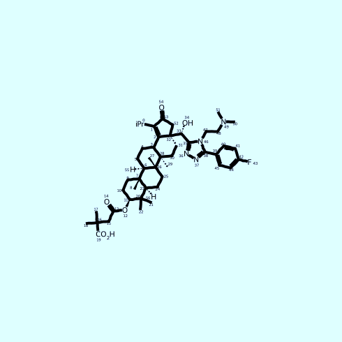 CC(C)C1=C2C3CC[C@@H]4[C@@]5(C)CC[C@H](OC(=O)CC(C)(C)C(=O)O)C(C)(C)[C@@H]5CC[C@@]4(C)[C@]3(C)CC[C@@]2([C@H](O)c2nnc(-c3ccc(F)cc3)n2CCN(C)C)CC1=O